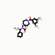 C[C@H](c1ccccc1)N1C[C@]2(CCCN(C(=O)c3cc(C(F)(F)F)cc(C(F)(F)F)c3)CC2)OC1=O